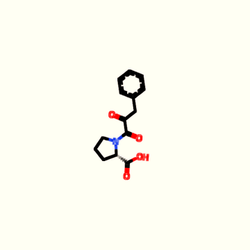 O=C(Cc1ccccc1)C(=O)N1CCC[C@H]1C(=O)O